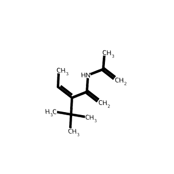 C=C(C)NC(=C)/C(=C\C)C(C)(C)C